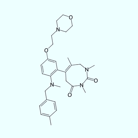 C/C1=C(\c2cc(OCCN3CCOCC3)ccc2N(C)Cc2ccc(C)cc2)CC(=O)N(C)C(=O)N(C)C1